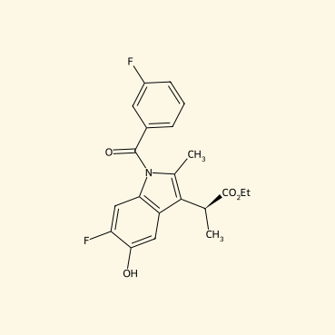 CCOC(=O)[C@@H](C)c1c(C)n(C(=O)c2cccc(F)c2)c2cc(F)c(O)cc12